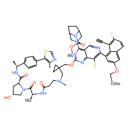 C#Cc1c(F)ccc2cc(OCOC)cc(-c3ncc4c(N5CC6CCC(C5)N6C(=O)OC(C)(C)C)nc(OCC5(CN(C)CCC(=O)N[C@H](C(=O)N6C[C@H](O)C[C@H]6C(=O)N[C@@H](C)c6ccc(-c7scnc7C)cc6)C(C)(C)C)CC5)nc4c3F)c12